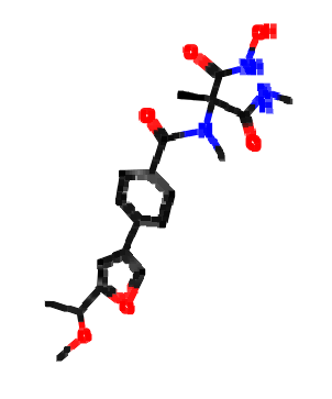 CNC(=O)[C@@](C)(C(=O)NO)N(C)C(=O)c1ccc(-c2coc(C(C)OC)c2)cc1